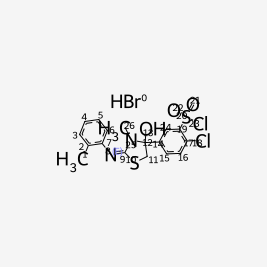 Br.Cc1ccccc1/N=C1/SCC(O)(c2ccc(Cl)c(S(=O)(=O)Cl)c2)N1C